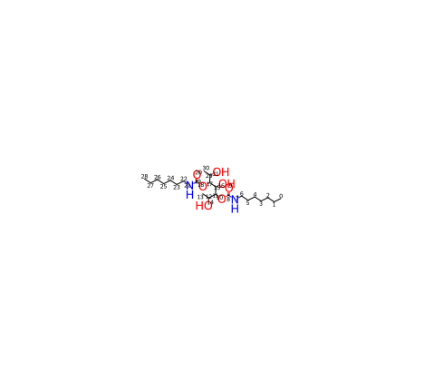 CCCCCCCNC(=O)OC(C(C)O)C(O)C(OC(=O)NCCCCCCC)C(C)O